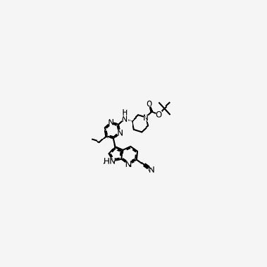 CCc1cnc(N[C@H]2CCCN(C(=O)OC(C)(C)C)C2)nc1-c1c[nH]c2nc(C#N)ccc12